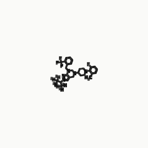 [2H]C([2H])([2H])C(n1cc2c(n1)N(Cc1ccccc1C(F)(F)F)CN(C1CCN(c3c(C)cccc3F)CC1)C2)C([2H])([2H])[2H]